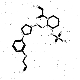 C=CCOc1cccc([C@H]2CC[C@@H](OC[C@H]3[C@@H](NS(C)(=O)=O)CCCN3C(=O)C=C)C2)c1